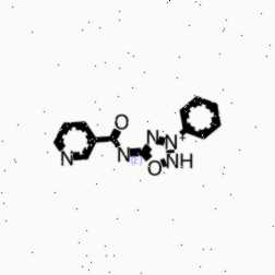 O=C(/N=c1\n[n+](-c2ccccc2)[nH]o1)c1cccnc1